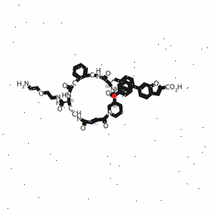 NCCOCCNC(=O)[C@@H]1CCNC(=O)/C=C/C(=O)N2CCC[C@@](C(=O)c3ccccc3)(CN[C@@H](Cc3ccc(-c4ccc5cc(C(=O)O)oc5c4)cc3)C(=O)NCc3ccccc3CC(=O)N1)C2